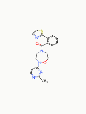 Cc1nccc(N2CCN(C(=O)c3ccccc3-c3nccs3)CCO2)n1